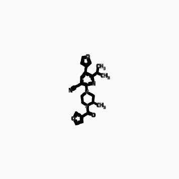 CC(C)c1nc(N2CCN(C(=O)c3ccoc3)[C@H](C)C2)c(C#N)cc1-c1ccoc1